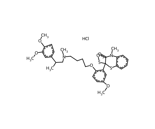 COc1ccc(OCCCCN(C)CC(C)c2ccc(OC)c(OC)c2)c(C2(SC)Sc3ccccc3N(C)C2=O)c1.Cl